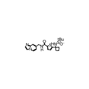 CC(C)(C)[S+]([O-])NC1(c2ccc(C(=O)NCc3ccn4ccnc4c3)s2)CCC1